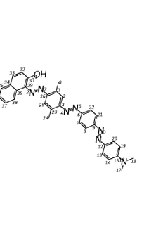 Cc1cc(/N=N/c2ccc(N=Nc3ccc(N(C)C)cc3)cc2)c(C)cc1N=Nc1c(O)ccc2ccccc12